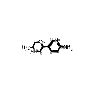 C[C@H]1COC(c2ccc(N)nc2)CN1